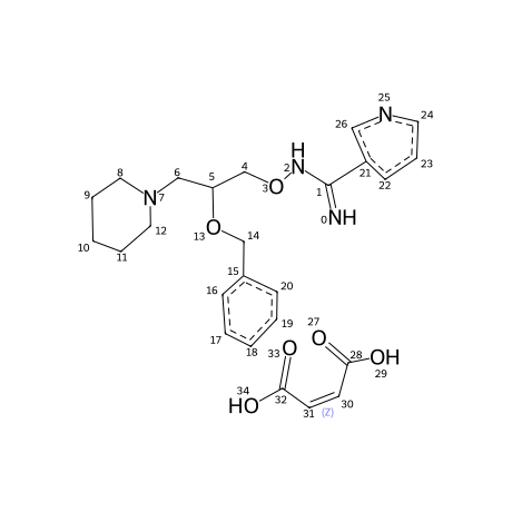 N=C(NOCC(CN1CCCCC1)OCc1ccccc1)c1cccnc1.O=C(O)/C=C\C(=O)O